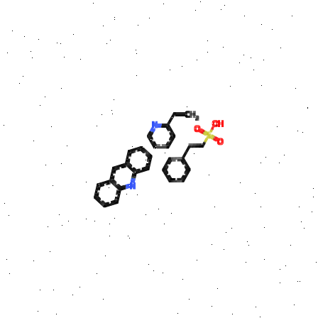 C=Cc1ccccn1.O=S(=O)(O)C=Cc1ccccc1.c1ccc2nc3ccccc3cc2c1